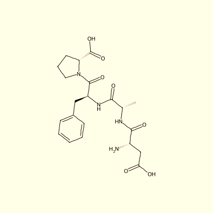 C[C@H](NC(=O)[C@@H](N)CC(=O)O)C(=O)N[C@@H](Cc1ccccc1)C(=O)N1CCC[C@@H]1C(=O)O